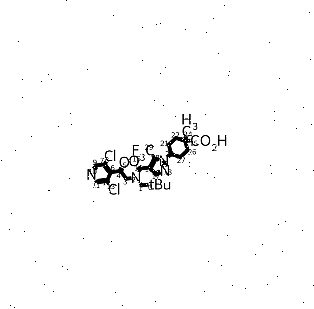 CC(C)(C)CN(CC(=O)c1c(Cl)cncc1Cl)C(=O)c1cnn(C2CCC(C)(C(=O)O)CC2)c1C(F)(F)F